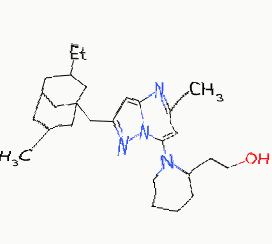 CCC1CC2CC(C)CC(Cc3cc4nc(C)cc(N5CCCCC5CCO)n4n3)(C1)C2